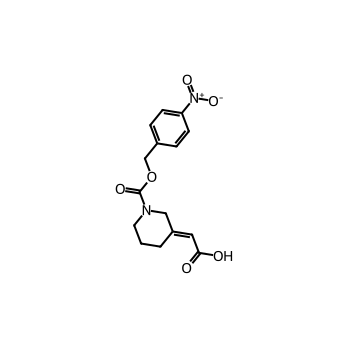 O=C(O)C=C1CCCN(C(=O)OCc2ccc([N+](=O)[O-])cc2)C1